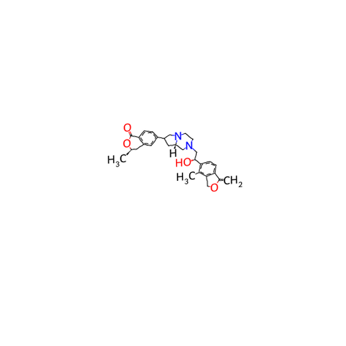 C=C1OCc2c1ccc([C@@H](O)CN1CCN3CC(c4ccc5c(c4)C[C@@H](C)OC5=O)C[C@H]3C1)c2C